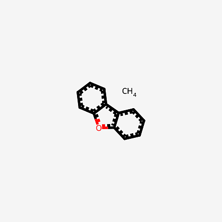 C.c1ccc2c(c1)oc1ccccc12